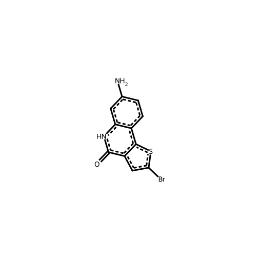 Nc1ccc2c(c1)[nH]c(=O)c1cc(Br)sc12